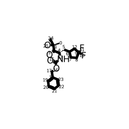 C[C@]1(C(=O)[C@H](CC2CCC(F)(F)C2)NC(=O)OCc2ccccc2)CO1